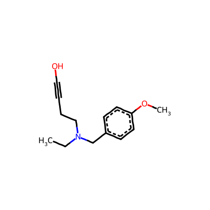 CCN(CCC#CO)Cc1ccc(OC)cc1